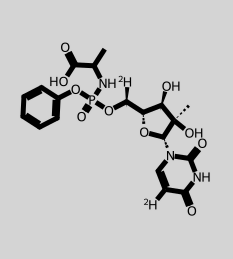 [2H]c1cn([C@@H]2O[C@H]([C@H]([2H])OP(=O)(NC(C)C(=O)O)Oc3ccccc3)[C@@H](O)[C@@]2(C)O)c(=O)[nH]c1=O